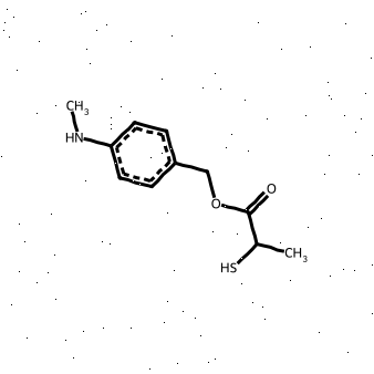 CNc1ccc(COC(=O)C(C)S)cc1